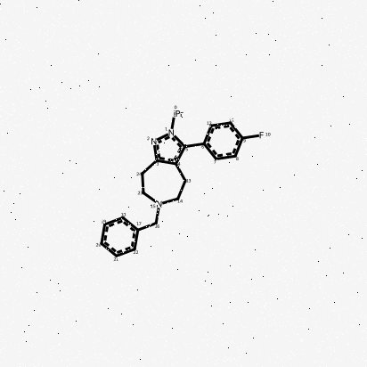 CC(C)n1nc2c(c1-c1ccc(F)cc1)CCN(Cc1ccccc1)CC2